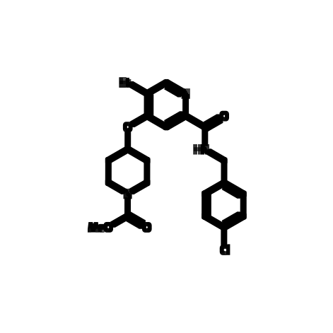 CCc1cnc(C(=O)NCc2ccc(Cl)cc2)cc1OC1CCN(C(=O)OC)CC1